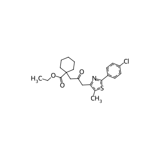 CCOC(=O)C1(CC(=O)Cc2nc(-c3ccc(Cl)cc3)sc2C)CCCCC1